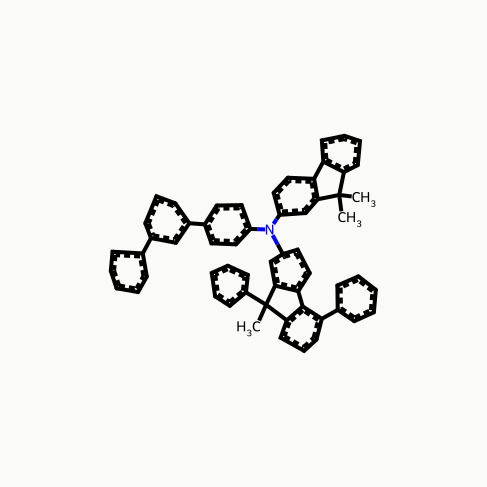 CC1(C)c2ccccc2-c2ccc(N(c3ccc(-c4cccc(-c5ccccc5)c4)cc3)c3ccc4c(c3)C(C)(c3ccccc3)c3cccc(-c5ccccc5)c3-4)cc21